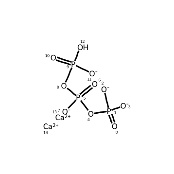 O=P([O-])([O-])OP(=O)([O-])OP(=O)([O-])O.[Ca+2].[Ca+2]